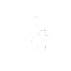 [c]1ccc(-n2c(-c3ccccc3)nnc2-c2ccccc2)cc1